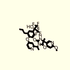 CCCc1cc(C(O)(C(F)(F)F)C(F)(F)F)ccc1Oc1ccnc(C(C)N2C(=O)NC(C)(c3ccc(OC)nc3)C2=O)c1